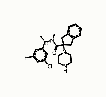 C[C@H](c1cc(F)cc(Cl)c1)N(C)C(=O)C1(N2CCNCC2)Cc2ccccc2C1